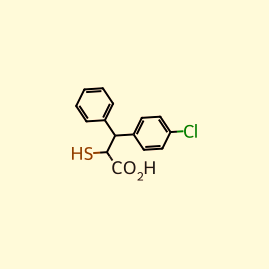 O=C(O)C(S)C(c1ccccc1)c1ccc(Cl)cc1